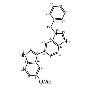 COc1cnc2[nH]cc(-c3ccc4ncn(Cc5ccccc5)c4c3)c2c1